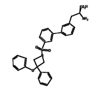 N[C@@H](Cc1cccc(-c2cccc(S(=O)(=O)N3CC(Oc4ccccc4)(c4ccccc4)C3)c2)c1)C(=O)O